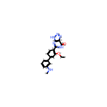 CCOc1cc(-c2cccc(NC)c2)ccc1-c1nc2[nH]nnc2c(=O)[nH]1